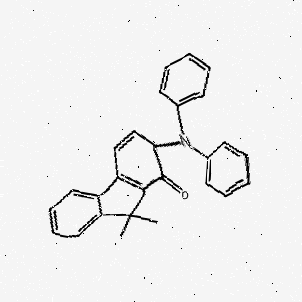 CC1(C)C2=C(C=CC(N(c3ccccc3)c3ccccc3)C2=O)c2ccccc21